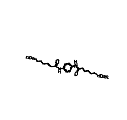 CCCCCCCCCCCCCCCC(=O)Nc1ccc(NC(=O)CCCCCCCCCCCCCCC)cc1